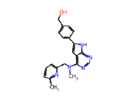 Cc1cccc(CN(C)c2ncnc3[nH]c(-c4ccc(CO)cc4)cc23)n1